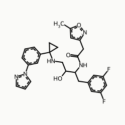 Cc1cc(CC(=O)NC(Cc2cc(F)cc(F)c2)C(O)CNC2(c3cccc(-n4cccn4)c3)CC2)no1